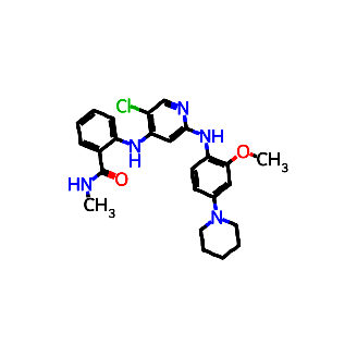 CNC(=O)c1ccccc1Nc1cc(Nc2ccc(N3CCCCC3)cc2OC)ncc1Cl